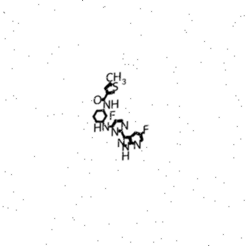 Cc1cc(C(=O)N[C@@H]2CCCC(Nc3nc(-c4n[nH]c5ncc(F)cc45)ncc3F)C2)cs1